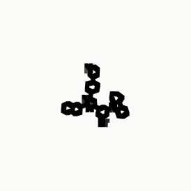 Brc1cc(-c2cc(-c3ccc(-c4cccnc4)cc3)nc(-c3ccc4ccccc4c3)n2)cc(-n2c3ccccc3c3ccccc32)c1